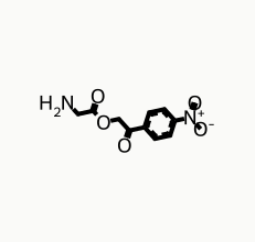 NCC(=O)OCC(=O)c1ccc([N+](=O)[O-])cc1